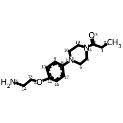 CCC(=O)N1CCN(c2ccc(OCCN)cc2)CC1